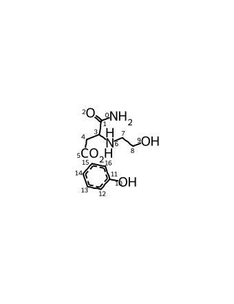 NC(=O)C(CC(=O)O)NCCO.Oc1ccccc1